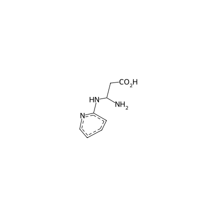 NC(CC(=O)O)Nc1ccccn1